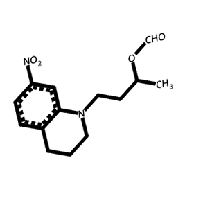 CC(CCN1CCCc2ccc([N+](=O)[O-])cc21)OC=O